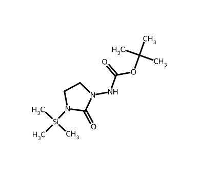 CC(C)(C)OC(=O)NN1CCN([Si](C)(C)C)C1=O